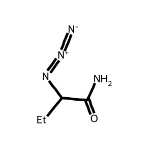 CCC(N=[N+]=[N-])C(N)=O